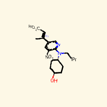 C/C(=C\C(=O)O)c1cnc(N(CC(C)C)[C@H]2CC[C@H](O)CC2)c([N+](=O)[O-])c1